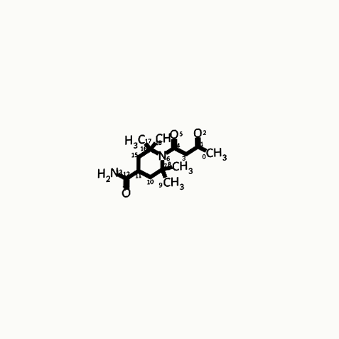 CC(=O)CC(=O)N1C(C)(C)CC(C(N)=O)CC1(C)C